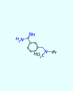 CC(C)N(Cc1cccc(C(=N)N)c1)C(=O)O